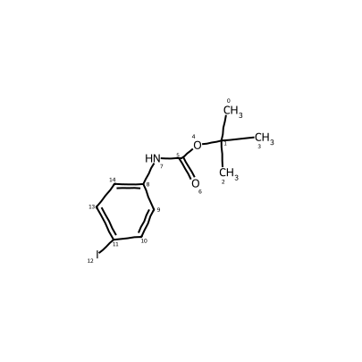 CC(C)(C)OC(=O)Nc1ccc(I)cc1